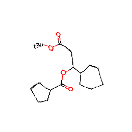 CC(C)(C)OC(=O)CC(OC(=O)C1CCCC1)C1CCCCC1